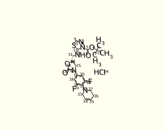 CC(C)(C)OC(=O)N1N=CSC1NC[C@@H]1CN(c2cc(F)c(N3CC=CCC3)c(F)c2)C(=O)O1.Cl